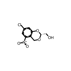 O=[N+]([O-])c1cc(Cl)cc2c1CO[C@@H](CO)O2